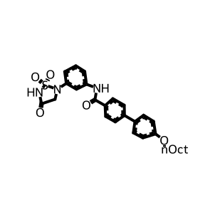 CCCCCCCCOc1ccc(-c2ccc(C(=O)Nc3cccc(N4CC(=O)NS4(=O)=O)c3)cc2)cc1